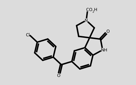 O=C(c1ccc(Cl)cc1)c1ccc2c(c1)C1(CCN(C(=O)O)C1)C(=O)N2